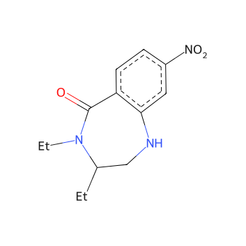 CCC1CNc2cc([N+](=O)[O-])ccc2C(=O)N1CC